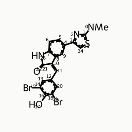 CNc1nc(-c2ccc3c(c2)C(=Cc2cc(Br)c(O)c(Br)c2)C(=O)N3)cs1